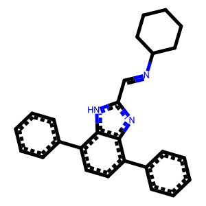 C(=N\C1CCCCC1)/c1nc2c(-c3ccccc3)ccc(-c3ccccc3)c2[nH]1